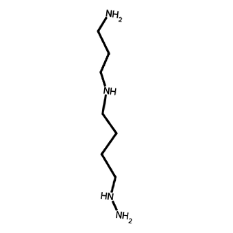 NCCCNCCCCNN